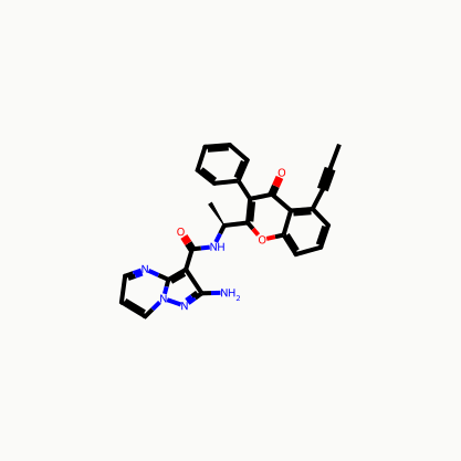 CC#Cc1cccc2oc([C@H](C)NC(=O)c3c(N)nn4cccnc34)c(-c3ccccc3)c(=O)c12